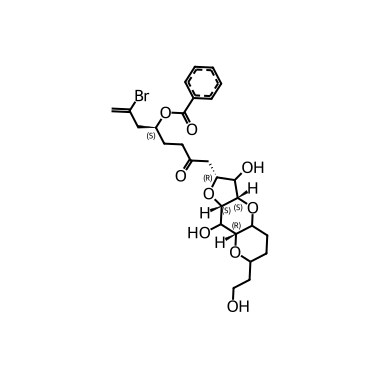 C=C(Br)C[C@H](CCC(=O)C[C@H]1O[C@H]2C(O)[C@H]3OC(CCO)CCC3O[C@H]2C1O)OC(=O)c1ccccc1